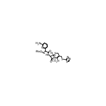 CON=C(C(=O)NC1C(=O)N2C(C(=O)O)=C(CSc3nncs3)CS[C@@H]12)c1cccc(N)n1